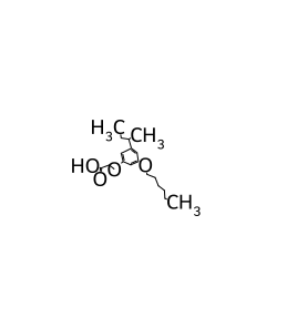 CCCCCCOc1cc(OCC(=O)O)cc(C(C)CC)c1